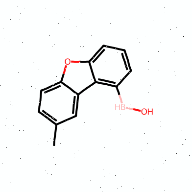 Cc1ccc2oc3cccc(BO)c3c2c1